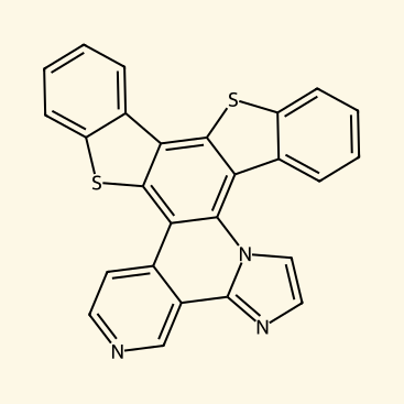 c1ccc2c(c1)sc1c2c2sc3ccccc3c2c2c1c1ccncc1c1nccn12